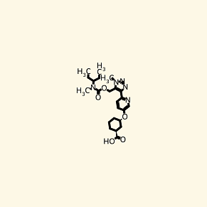 CCC(CC)N(C)C(=O)OCc1c(-c2ccc(O[C@H]3CCC[C@H](C(=O)O)C3)cn2)nnn1C